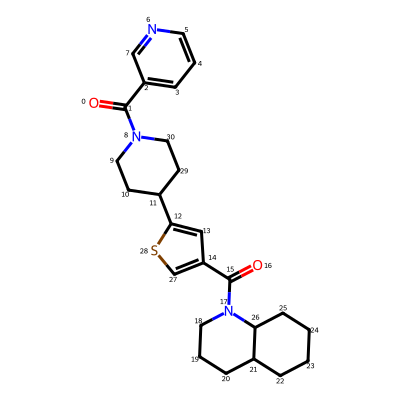 O=C(c1cccnc1)N1CCC(c2cc(C(=O)N3CCCC4CCCCC43)cs2)CC1